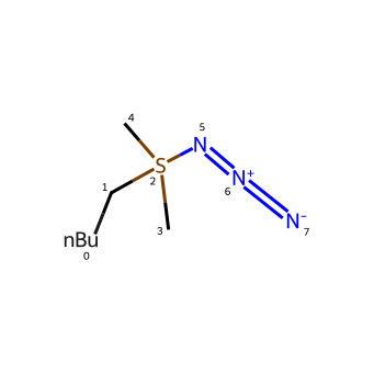 CCCCCS(C)(C)N=[N+]=[N-]